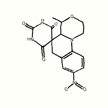 CC1OCCN2c3ccc([N+](=O)[O-])cc3CC3(C(=O)NC(=O)NC3=O)C12